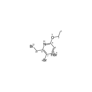 Br.CCOc1ccc(Br)c(CBr)n1